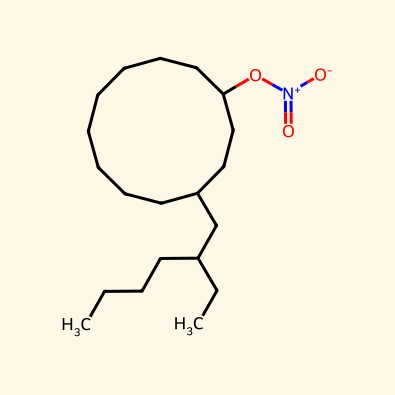 CCCCC(CC)CC1CCCCCCCCC(O[N+](=O)[O-])CC1